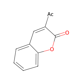 [CH2]C(=O)c1cc2ccccc2oc1=O